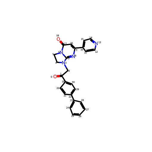 O=C(CN1CCn2c1nc(-c1ccncc1)cc2=O)c1ccc(-c2ccccc2)cc1